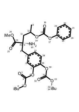 CCC(C)OC(=O)Oc1cc(C[C@](N)(CC(C)OC(=O)Oc2ccccc2)C(=O)OC)ccc1OC(=O)O[C@@H](C)CC